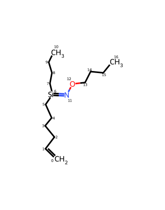 C=CCCCC[Si](CCCC)=NOCCCC